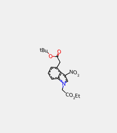 CCOC(=O)Cn1cc([N+](=O)[O-])c2c(CC(=O)OC(C)(C)C)cccc21